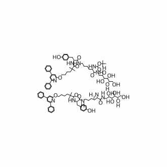 CC(C)(C)OC(=O)NC(CCCCNC(=O)C(Cc1ccc(O)cc1)NC(=O)C(C)(C)CCCCOc1cc(-c2ccccc2)cc(-c2ccccc2)n1)C(=O)NCC(O)C(O)C(O)C(O)CO.CC(C)(CCCCOc1cc(-c2ccccc2)cc(-c2ccccc2)n1)C(=O)NC(Cc1ccc(O)cc1)C(=O)NCCCCC(N)C(=O)NCC(O)C(O)C(O)C(O)CO